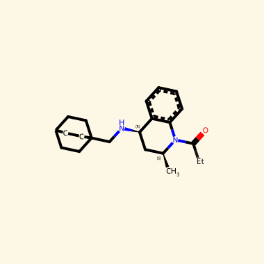 CCC(=O)N1c2ccccc2[C@H](NCC23CCC(CC2)CC3)C[C@@H]1C